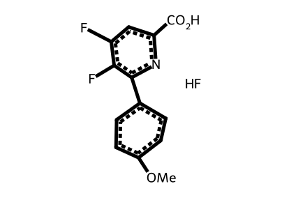 COc1ccc(-c2nc(C(=O)O)cc(F)c2F)cc1.F